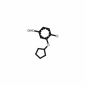 O=Cc1ccc(Cl)c(OC2CCCC2)c1